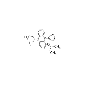 CCC(C)Oc1ccccc1P(c1ccccc1)c1ccccc1OC(C)CC